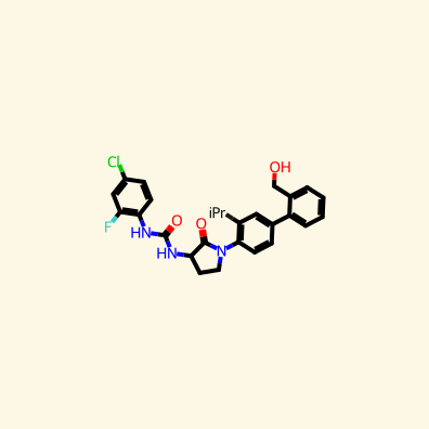 CC(C)c1cc(-c2ccccc2CO)ccc1N1CCC(NC(=O)Nc2ccc(Cl)cc2F)C1=O